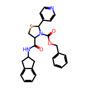 O=C(NC1Cc2ccccc2C1)C1CSC(c2ccncc2)N1C(=O)OCc1ccccc1